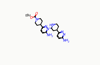 CC(C)(C)OC(=O)N1CCC(c2ccc(N)[n+](C3CC(c4ccc(N)nn4)CCN3)n2)CC1